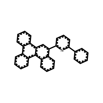 c1ccc(-c2cccc(-c3cc4c5ccccc5c5ccccc5c4c4ccccc34)n2)cc1